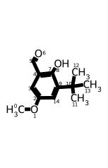 COc1cc(C=O)c(O)c(C(C)(C)C)c1